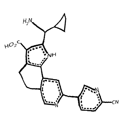 N#Cc1ccc(-c2cc3c(cn2)CCc2c-3[nH]c(C(N)C3CC3)c2C(=O)O)cn1